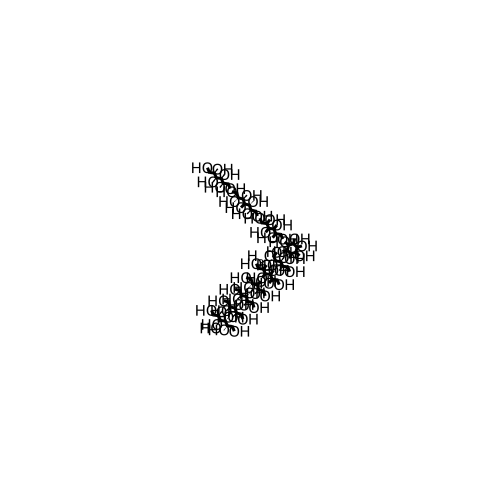 C[C@H](O)[C@@H](O)[C@@H](O)[C@H](O)CO.OC1C(O)C(O)C(O)C(O)C1O.OCC(O)C(O)C(O)C(O)CO.OCC(O)C(O)C(O)C(O)CO.OC[C@@H](O)C(O)[C@H](O)CO.OC[C@@H](O)[C@@H](O)C(O)[C@H](O)[C@H](O)CO.OC[C@@H](O)[C@@H](O)[C@@H](O)CO.OC[C@@H](O)[C@H](O)[C@@H](O)CO.OC[C@@H](O)[C@H](O)[C@@H](O)[C@H](O)CO.OC[C@@H](O)[C@H](O)[C@H](O)[C@@H](O)CO.[OH]